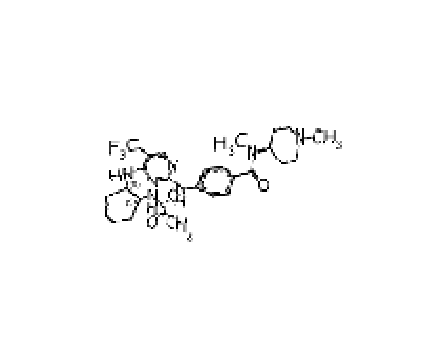 CN1CCC(N(C)C(=O)c2ccc(Nc3ncc(C(F)(F)F)c(N[C@@H]4CCCC[C@@H]4NS(C)(=O)=O)n3)cc2)CC1